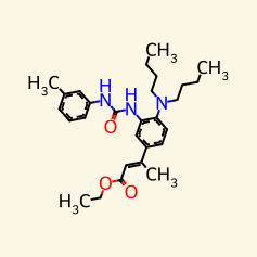 CCCCN(CCCC)c1ccc(/C(C)=C/C(=O)OCC)cc1NC(=O)Nc1cccc(C)c1